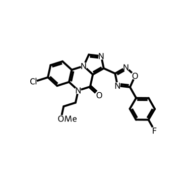 COCCn1c(=O)c2c(-c3noc(-c4ccc(F)cc4)n3)ncn2c2ccc(Cl)cc21